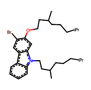 CC(C)CCCC(C)CCOc1cc2c(cc1Br)c1ccccc1n2CCC(C)CCCC(C)C